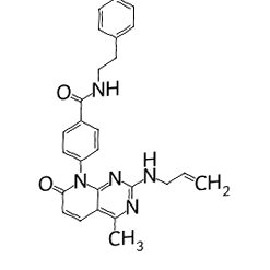 C=CCNc1nc(C)c2ccc(=O)n(-c3ccc(C(=O)NCCc4ccccc4)cc3)c2n1